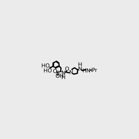 CC(C)NCCNC1CCN(CC(=O)N[C@H]2Cc3cccc(C(O)O)c3OB2O)CC1